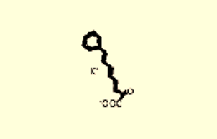 O=C([O-])C(=O)/C=C/C=C/C=C/c1ccccc1.[K+]